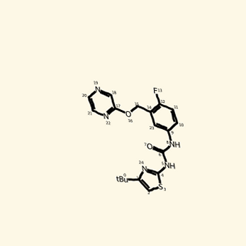 CC(C)(C)c1csc(NC(=O)Nc2ccc(F)c(COc3cnccn3)c2)n1